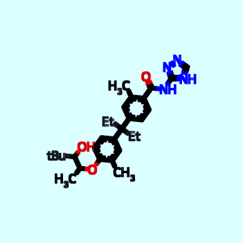 CCC(CC)(c1ccc(OC(C)C(O)C(C)(C)C)c(C)c1)c1ccc(C(=O)Nc2nnc[nH]2)c(C)c1